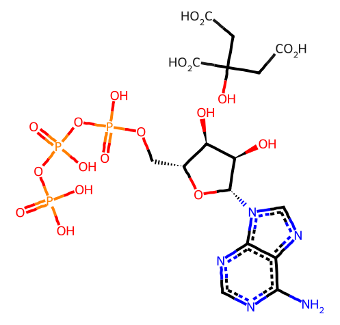 Nc1ncnc2c1ncn2[C@@H]1O[C@H](COP(=O)(O)OP(=O)(O)OP(=O)(O)O)[C@@H](O)[C@H]1O.O=C(O)CC(O)(CC(=O)O)C(=O)O